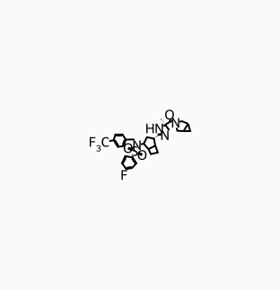 C[C@]1(C(=O)N2CC3CC3C2)CN=C([C@H]2CC(N(Cc3ccc(C(F)(F)F)cc3)S(=O)(=O)c3ccc(F)cc3)C3CCC32)N1